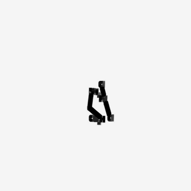 NCC(=O)O.[Cl][Pd][Cl]